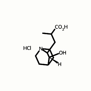 CC(CC1[C@H](O)C2CCN1CC2)C(=O)O.Cl